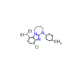 CCC(CC)c1ccc(Cl)c2nc3n(c12)CCCCN3c1ccc(C)cc1